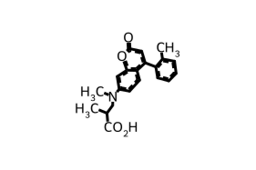 Cc1ccccc1-c1cc(=O)oc2cc(N(C)CC(C)C(=O)O)ccc12